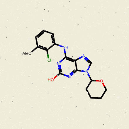 COc1cccc(Nc2nc(O)nc3c2ncn3C2CCCCO2)c1Cl